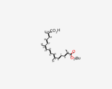 CCC(C)OC(=O)C(C)=CC=CC(C)=CC=CC=C(C)C=CC=C(C)C(=O)O